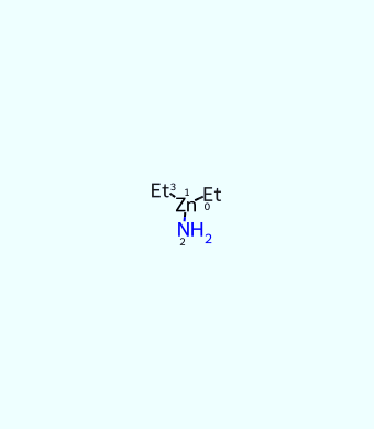 C[CH2][Zn]([NH2])[CH2]C